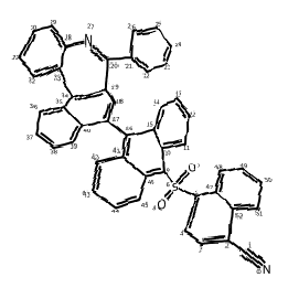 N#Cc1ccc(S(=O)(=O)c2c3ccccc3c(-c3cc4c(-c5ccccc5)nc5ccccc5c4c4ccccc34)c3ccccc23)c2ccccc12